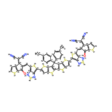 Cc1ccc(C2(c3ccc(C)cc3)c3c(sc4cc(-c5sc(/C=C6\C(=O)c7sccc7C6=C(C#N)C#N)c6c5N=S=N6)sc34)-c3sc4cc(-c5sc(/C=C6\C(=O)c7sccc7C6=C(C#N)C#N)c6c5N=S=N6)sc4c32)cc1